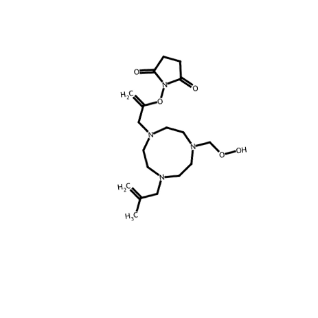 C=C(C)CN1CCN(COO)CCN(CC(=C)ON2C(=O)CCC2=O)CC1